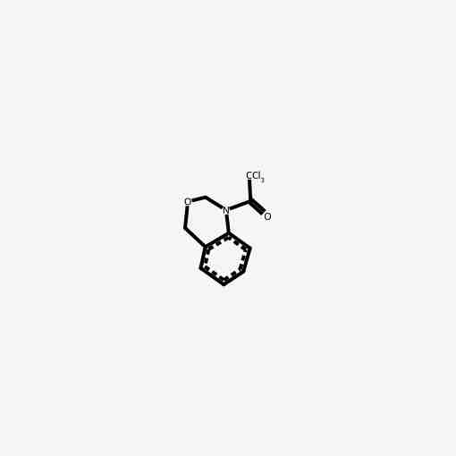 O=C(N1COCc2ccccc21)C(Cl)(Cl)Cl